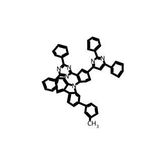 Cc1cccc(-c2ccc3c4ccccc4n(-c4ccc(-c5cc(-c6ccccc6)nc(-c6ccccc6)n5)cc4-c4nc(-c5ccccc5)nc(-c5ccccc5)n4)c3c2)c1